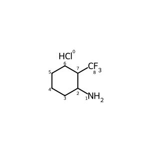 Cl.NC1CCCCC1C(F)(F)F